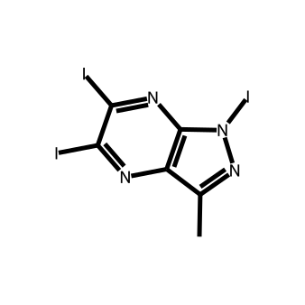 Cc1nn(I)c2nc(I)c(I)nc12